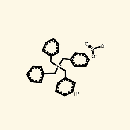 O=S([O-])[O-].[H+].c1ccc(C[P+](Cc2ccccc2)(Cc2ccccc2)Cc2ccccc2)cc1